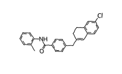 Cc1ccccc1NC(=O)c1ccc(CC2=Cc3ccc(Cl)cc3CC2)cc1